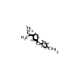 Cc1cnc(Oc2cccc(C(C)C)c2)nc1